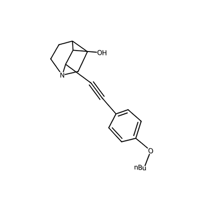 CCCCOc1ccc(C#CC2C(O)C3CCN2CC3)cc1